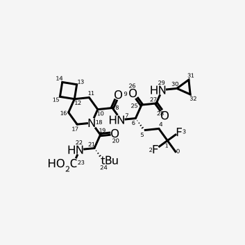 CC(F)(F)CC[C@H](NC(=O)C1CC2(CCC2)CCN1C(=O)[C@@H](NC(=O)O)C(C)(C)C)C(=O)C(=O)NC1CC1